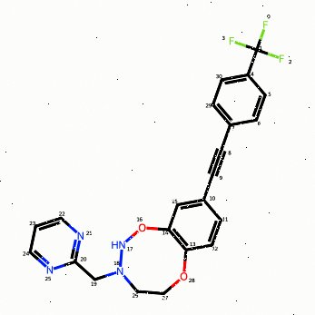 FC(F)(F)c1ccc(C#Cc2ccc3c(c2)ONN(Cc2ncccn2)CCO3)cc1